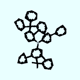 CC1(C)c2ccccc2-c2cc(N(c3ccc(-c4ccccc4)cc3)c3cccc4c3-c3ccccc3C4(c3ccccc3)c3ccccc3)cc(-c3ccccc3)c21